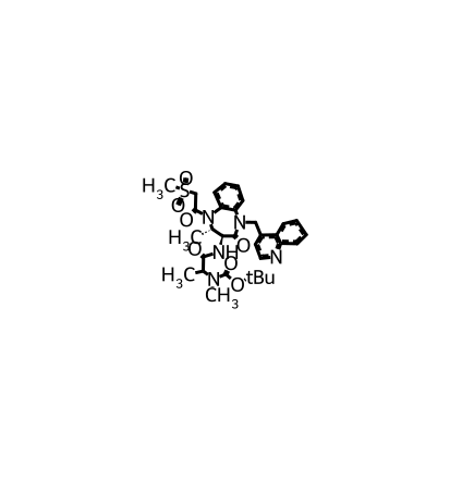 CC(C(=O)N[C@@H]1C(=O)N(Cc2ccnc3ccccc23)c2ccccc2N(C(=O)CS(C)(=O)=O)[C@H]1C)N(C)C(=O)OC(C)(C)C